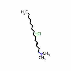 CCCCCCCCCCCC=CCCN(C)C.Cl